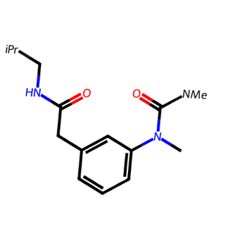 CNC(=O)N(C)c1cccc(CC(=O)NCC(C)C)c1